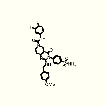 COc1ccc(CNc2nc3c(c(=O)n2-c2ccc(S(N)(=O)=O)cc2)CN(C(=O)Nc2ccc(F)c(F)c2)CC3)cc1